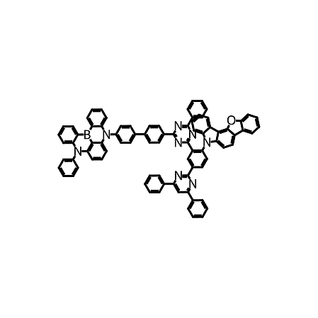 c1ccc(-c2cc(-c3ccccc3)nc(-c3ccc(-n4c5ccccc5c5c6oc7ccccc7c6ccc54)c(-c4nc(-c5ccccc5)nc(-c5ccc(-c6ccc(N7c8ccccc8B8c9ccccc9N(c9ccccc9)c9cccc7c98)cc6)cc5)n4)c3)n2)cc1